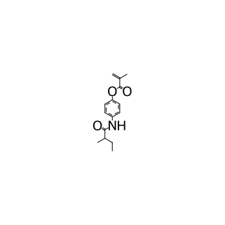 C=C(C)C(=O)Oc1ccc(NC(=O)C(C)CC)cc1